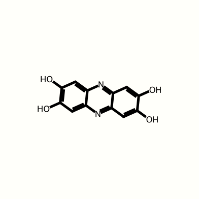 Oc1cc2nc3cc(O)c(O)cc3nc2cc1O